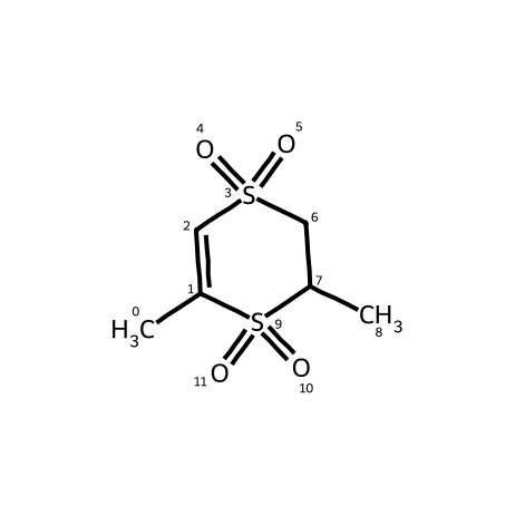 CC1=CS(=O)(=O)CC(C)S1(=O)=O